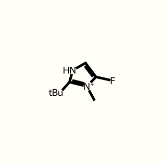 C[n+]1c(F)c[nH]c1C(C)(C)C